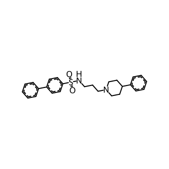 O=S(=O)(NCCCN1CCC(c2ccccc2)CC1)c1ccc(-c2ccccc2)cc1